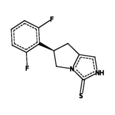 Fc1cccc(F)c1[C@H]1Cc2c[nH]c(=S)n2C1